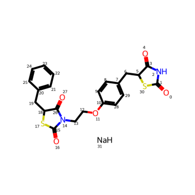 O=C1NC(=O)C(Cc2ccc(OCCN3C(=O)SC(Cc4ccccc4)C3=O)cc2)S1.[NaH]